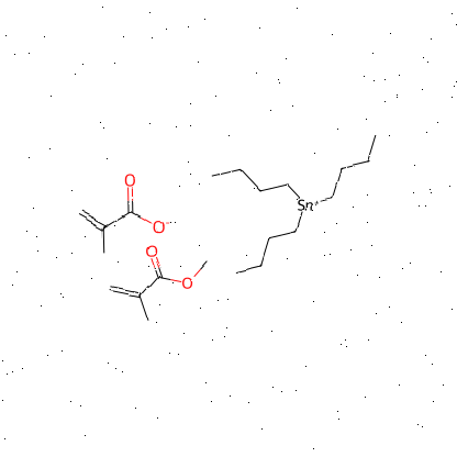 C=C(C)C(=O)OC.C=C(C)C(=O)[O-].CCC[CH2][Sn+]([CH2]CCC)[CH2]CCC